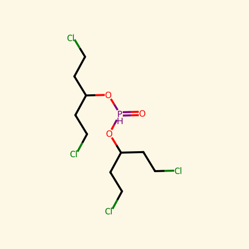 O=[PH](OC(CCCl)CCCl)OC(CCCl)CCCl